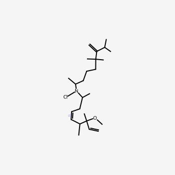 C=CC(C)(OC)C(C)/C=C\CC(C)N(Cl)C(C)CCCC(C)(C)C(=C)C(C)C